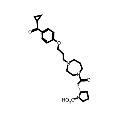 O=C(c1ccc(OCCCN2CCCN(C(=O)C[C@@H]3CCCN3C(=O)O)CC2)cc1)C1CC1